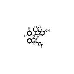 N#Cc1ccnc(N2C(=O)OCCC2C(=O)N(c2cc(F)cc(F)c2)[C@H](C(=O)NC2CC(F)(F)C2)c2ccccc2Cl)n1